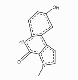 Cn1ccc2c3cc(O)ccc3[nH]c(=O)c21